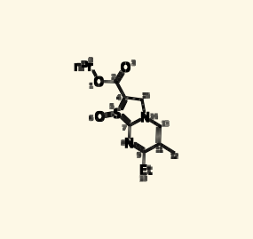 CCCOC(=O)C1=S(=O)=C2N=C(CC)C(C)=CN2C1